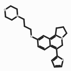 c1csc(C2=c3ccc(OCCCN4CCOCC4)cc3=C3CCCN3C2)c1